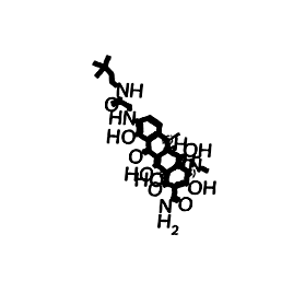 C[C@@H]1c2ccc(NCC(=O)NCCC(C)(C)C)c(O)c2C(=O)C2=C(O)[C@@]3(O)C(=O)C(C(N)=O)=C(O)[C@@H](N(C)C)[C@H]3[C@H](O)[C@H]21